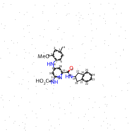 COc1cc(C)ccc1Nc1cc(NC(=O)O)nc(C(=O)NC2Cc3ccccc3C2)c1